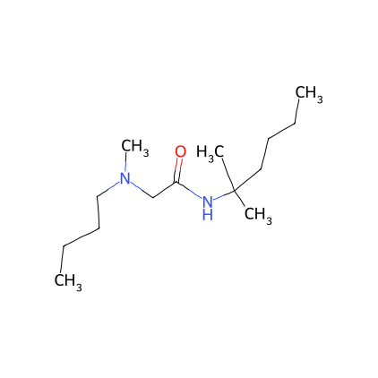 CCCCN(C)CC(=O)NC(C)(C)CCCC